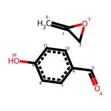 C=C1CO1.O=Cc1ccc(O)cc1